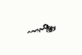 CCCCCCN=CCc1cccc(NS(C)(=O)=O)c1